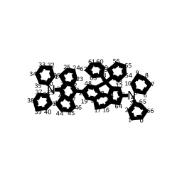 c1ccc(N(c2ccccc2)c2cc3c4c(ccc5cc(-c6c7ccccc7c(N(c7ccccc7)c7ccccc7)c7ccccc67)cc(c54)C3(c3ccccc3)c3ccccc3)c2)cc1